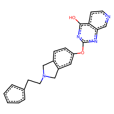 Oc1nc(Oc2ccc3c(c2)CN(CCc2ccccc2)C3)nc2cnccc12